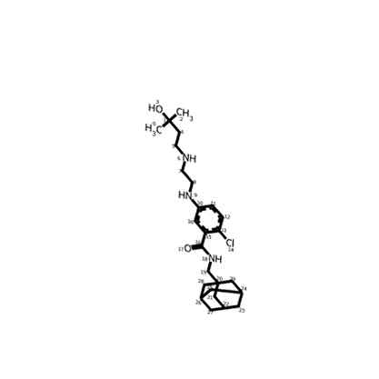 CC(C)(O)CCNCCNc1ccc(Cl)c(C(=O)NCC23CC4CC(CC(C4)C2)C3)c1